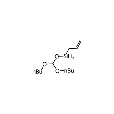 C=CC[SiH2]OC(OCCCC)OCCCC